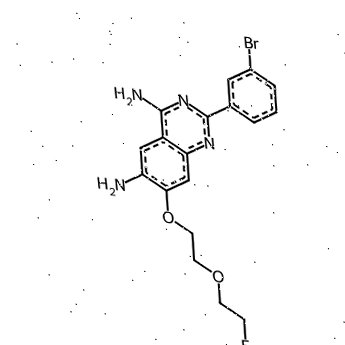 Nc1cc2c(N)nc(-c3cccc(Br)c3)nc2cc1OCCOCCF